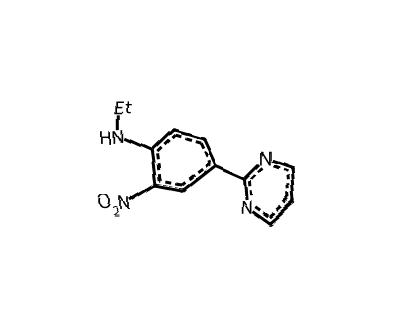 CCNc1ccc(-c2ncccn2)cc1[N+](=O)[O-]